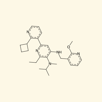 CCc1nc(-c2cccnc2C2CCC2)cc(NCc2cccnc2OC)c1N(C)C(C)C